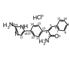 Cl.NC(=O)/C(=C\c1ccccc1)c1ccc(-c2cnc(N)[nH]2)cc1